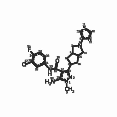 Cn1nc(C2CC3CN(c4cscn4)CC3C2)c(C(=O)Nc2ccc(F)c(Cl)c2)c1N